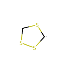 [CH]1SCSS1